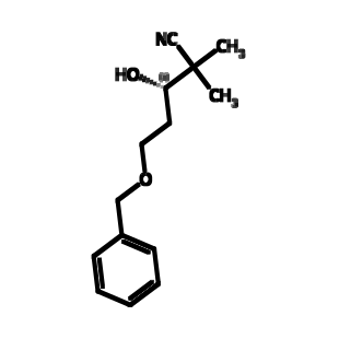 CC(C)(C#N)[C@@H](O)CCOCc1ccccc1